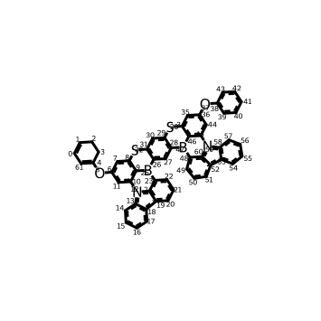 C1=CCCC(Oc2cc3c4c(c2)-n2c5ccccc5c5cccc(c52)B4c2cc4c(cc2S3)Sc2cc(Oc3ccccc3)cc3c2B4c2cccc4c5ccccc5n-3c24)=C1